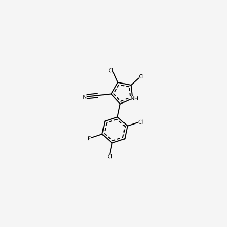 N#Cc1c(-c2cc(F)c(Cl)cc2Cl)[nH]c(Cl)c1Cl